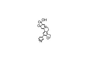 O=C(O)c1cn2c(cc1=O)-c1cc(-c3cnsc3)c3c(c1CC2)CCO3